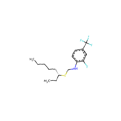 CCCCC[C@@H](CC)SCNc1ccc(C(F)(F)F)cc1F